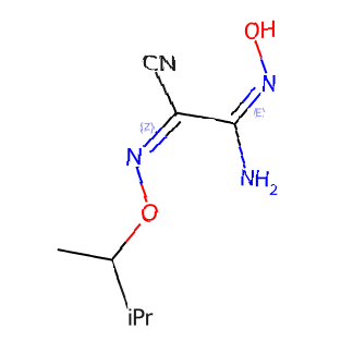 CC(C)C(C)O/N=C(C#N)\C(N)=N/O